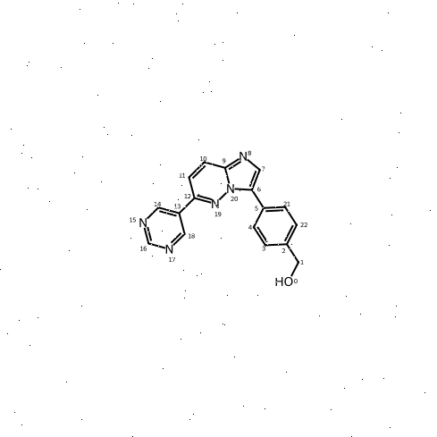 OCc1ccc(-c2cnc3ccc(-c4cncnc4)nn23)cc1